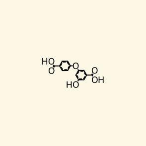 O=C(O)c1ccc(Oc2cc(O)cc(C(=O)O)c2)cc1